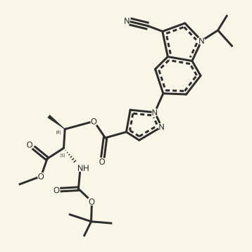 COC(=O)[C@@H](NC(=O)OC(C)(C)C)[C@@H](C)OC(=O)c1cnn(-c2ccc3c(c2)c(C#N)cn3C(C)C)c1